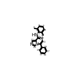 Cc1cccc(C)c1Nc1ncc(-c2ccccc2)n2cncc12